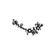 N#Cc1ncc(N2C(=O)C3(CCC3)N(c3ccc(OCCCC[S+]([O-])CCCC(F)(F)C(F)(F)F)c(F)c3)C2=S)cc1C(F)(F)F